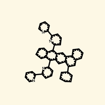 c1ccc(-c2cc3ccccc3c3cc4c(-c5cccc(-c6ccccn6)n5)c5ccccc5c(-c5cccc(-c6ccccn6)n5)c4cc23)cc1